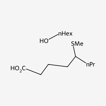 CCCC(CCCC(=O)O)SC.CCCCCCO